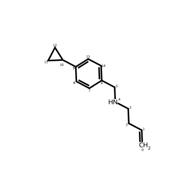 C=CCCNCc1ccc(C2CC2)cc1